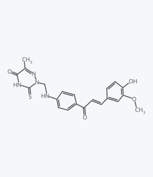 COc1cc(C=CC(=O)c2ccc(NCn3nc(C)c(=O)[nH]c3=S)cc2)ccc1O